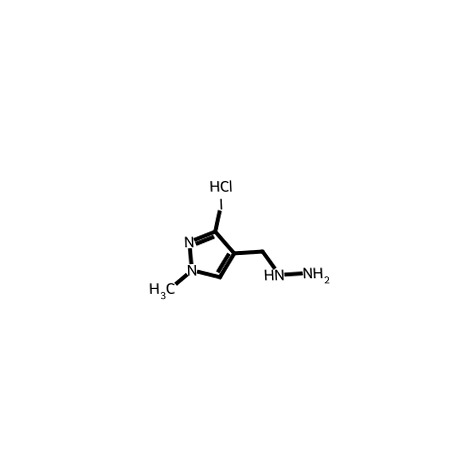 Cl.Cn1cc(CNN)c(I)n1